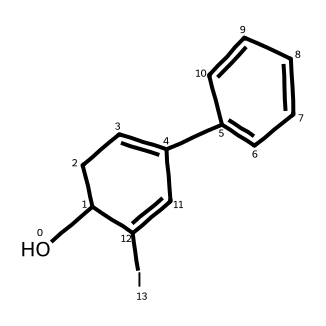 OC1CC=C(c2ccccc2)C=C1I